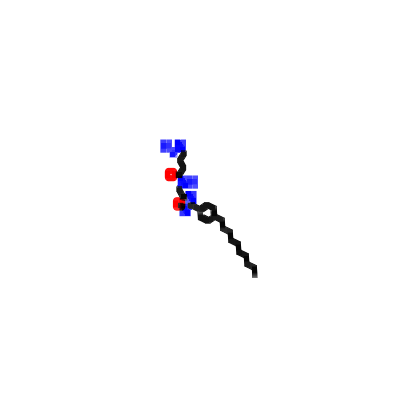 CCCCCCCCCCc1ccc(-c2noc(CNC(=O)CCCN)n2)cc1